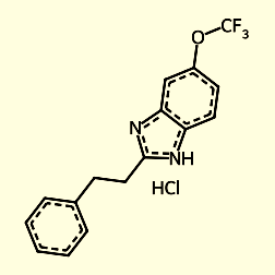 Cl.FC(F)(F)Oc1ccc2[nH]c(CCc3ccccc3)nc2c1